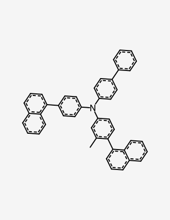 Cc1cc(N(c2ccc(-c3ccccc3)cc2)c2ccc(-c3cccc4ccccc34)cc2)ccc1-c1cccc2ccccc12